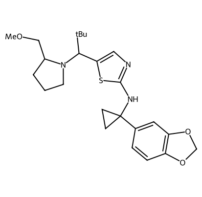 COCC1CCCN1C(c1cnc(NC2(c3ccc4c(c3)OCO4)CC2)s1)C(C)(C)C